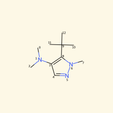 CN(C)c1cnn(C)c1C(C)(C)C